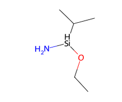 CCO[SiH](N)C(C)C